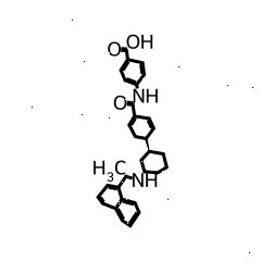 CC(N[C@H]1CCC[C@H](C2C=CC(C(=O)Nc3ccc(C(=O)O)cc3)=CC2)C1)c1cccc2ccccc12